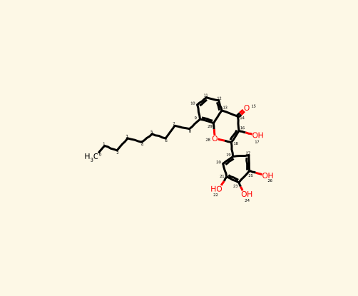 CCCCCCCCCc1cccc2c(=O)c(O)c(-c3cc(O)c(O)c(O)c3)oc12